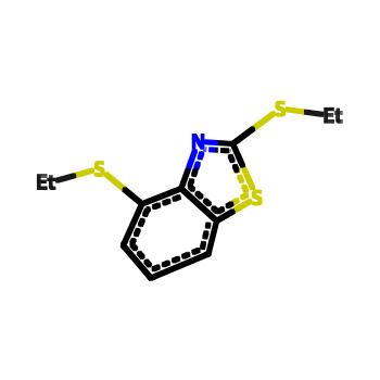 CCSc1nc2c(SCC)cccc2s1